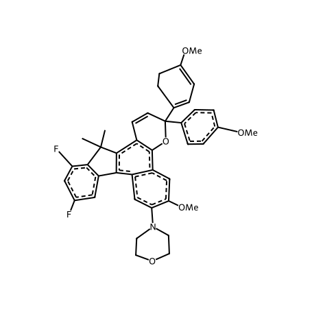 COC1=CC=C(C2(c3ccc(OC)cc3)C=Cc3c4c(c5cc(N6CCOCC6)c(OC)cc5c3O2)-c2cc(F)cc(F)c2C4(C)C)CC1